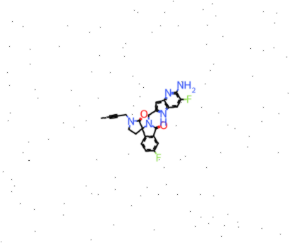 CC#CCN1CCC2(C1=O)c1ccc(F)cc1C(=O)N2Cc1cc2nc(N)c(F)cc2[nH]1